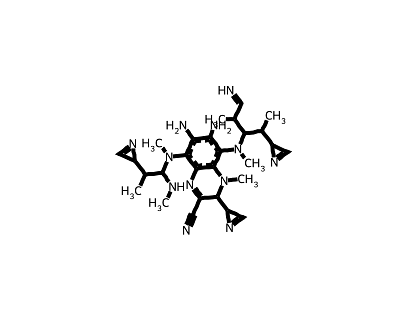 CNC(C(C)C1C=N1)N(C)c1c(N)c(N)c(N(C)C(C(C)C=N)C(C)C2C=N2)c2c1N=C(C#N)C(C1C=N1)N2C